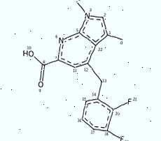 Cc1cn(C)c2nc(C(=O)O)cc(Cc3cccc(F)c3F)c12